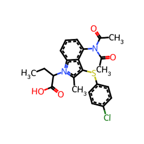 CCC(C(=O)O)n1c(C)c(Sc2ccc(Cl)cc2)c2c(N(C(C)=O)C(C)=O)cccc21